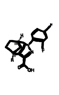 O=C(O)c1nn(-c2ccc(F)cc2F)c2c1[C@H]1CC[C@@H]2C1